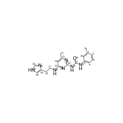 Cc1cccc(NC(=O)Nc2nc(C)cc(NCCc3c[nH]cn3)n2)c1